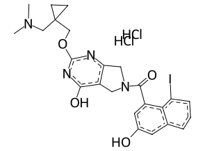 CN(C)CC1(COc2nc(O)c3c(n2)CN(C(=O)c2cc(O)cc4cccc(I)c24)C3)CC1.Cl.Cl